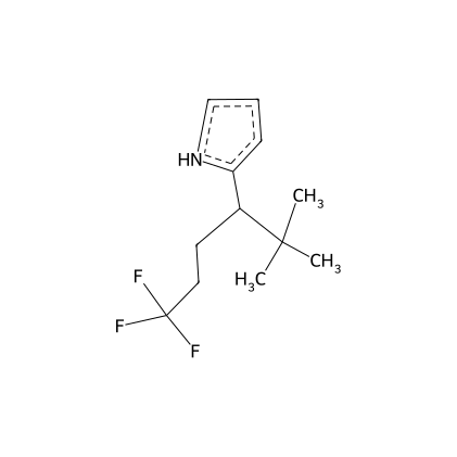 CC(C)(C)C(CCC(F)(F)F)c1ccc[nH]1